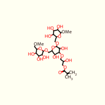 C=C(C)C(=O)OCC(O)COC1C(O)C(COC2OC(COC)C(O)C(O)C2O)OC(OCC2OC(OC)C(O)C(O)C2O)[C@H]1O